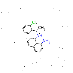 CC(NC1CC=CC2=CC=CC(N)C21)C1C=CC=CC1Cl